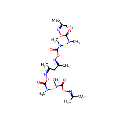 CS/C(C)=N/OC(=O)N(C)SN(C)C(=O)O/N=C(/C)C/C(C)=N/OC(=O)N(C)SN(C)C(=O)O/N=C(\C)SC